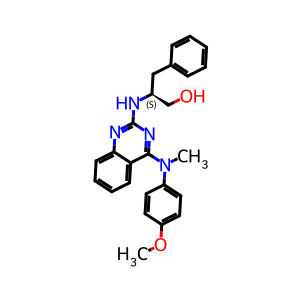 COc1ccc(N(C)c2nc(N[C@H](CO)Cc3ccccc3)nc3ccccc23)cc1